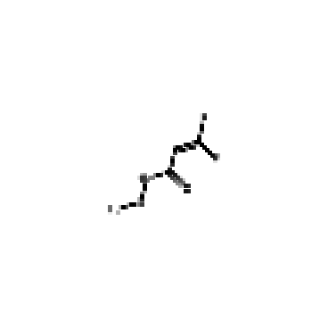 O=C(C=C(F)F)NSS